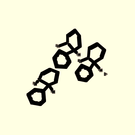 [2H]N1C=CC=CC1([2H])c1ccccc1.[2H]N1C=CC=CC1([2H])c1ccccc1.[2H]N1C=CC=CC1([2H])c1ccccc1.[Ir]